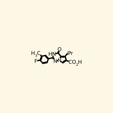 Cc1cc(-c2nn3cc(C(=O)O)c(C(C)C)c3c(=O)[nH]2)ccc1F